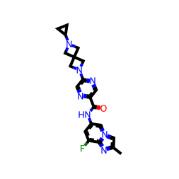 Cc1cn2cc(NC(=O)c3cnc(N4CC5(C4)CN(C4CC4)C5)cn3)cc(F)c2n1